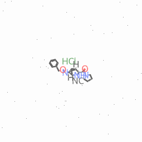 Cl.N#C[C@@H]1CCCN1C(=O)[C@H]1N[C@@H]2C[C@H]1CC2=NOCc1ccccc1